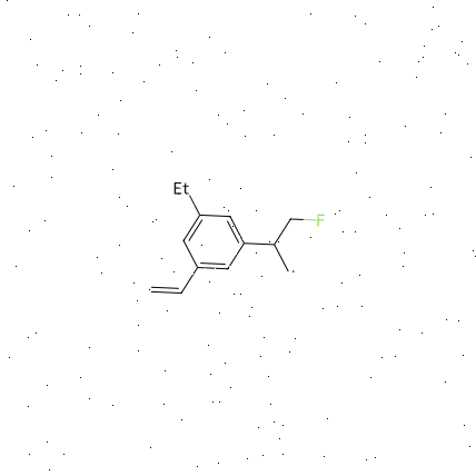 [CH2]C(CF)c1cc(C=C)cc(CC)c1